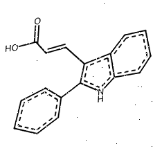 O=C(O)/C=C/c1c(-c2ccccc2)[nH]c2ccccc12